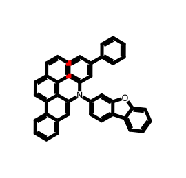 c1ccc(-c2cccc(N(c3ccc4c(c3)oc3ccccc34)c3cc4ccccc4c4ccc5ccccc5c34)c2)cc1